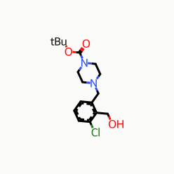 CC(C)(C)OC(=O)N1CCN(Cc2cccc(Cl)c2CO)CC1